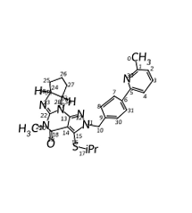 Cc1cccc(-c2ccc(Cn3nc4c(c3SC(C)C)C(=O)N(C)C3=N[C@@H]5CCC[C@@H]5N34)cc2)n1